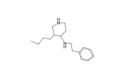 CCCCC1CNCCC1NCCc1ccccc1